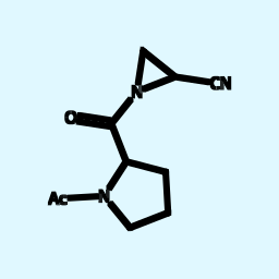 CC(=O)N1CCCC1C(=O)N1CC1C#N